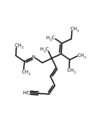 C#C/C=C\C=C\C(C)(C/N=C(\C)CC)/C(=C(\C)CC)C(C)C